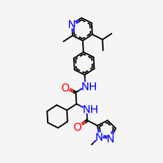 Cc1nccc(C(C)C)c1-c1ccc(NC(=O)C(NC(=O)c2ccnn2C)C2CCCCC2)cc1